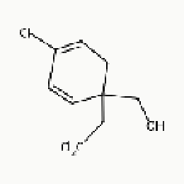 OCC1(CC(Cl)(Cl)Cl)C=CC(Cl)=CC1